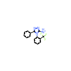 Nc1nnc(-c2ccccc2)n1-c1ccccc1C(F)(F)F